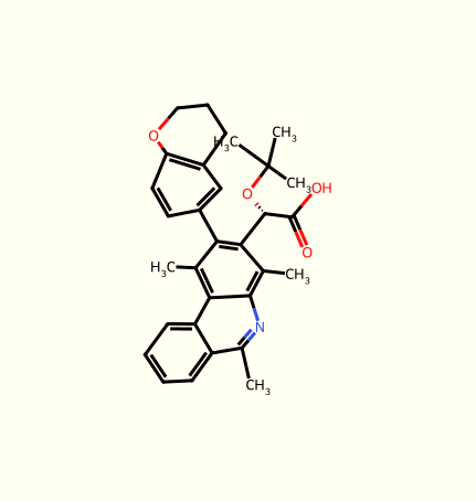 Cc1nc2c(C)c([C@H](OC(C)(C)C)C(=O)O)c(-c3ccc4c(c3)CCCO4)c(C)c2c2ccccc12